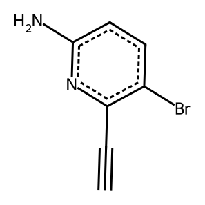 C#Cc1nc(N)ccc1Br